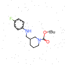 CC(C)(C)OC(=O)N1CCCC(CNc2ccc(F)cc2)C1